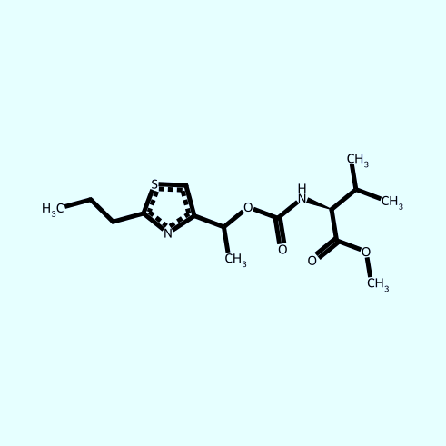 CCCc1nc(C(C)OC(=O)N[C@H](C(=O)OC)C(C)C)cs1